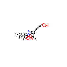 CC(C)(O)C(NC(=O)c1ccc(C#CC#CCO)cc1)C(=O)O